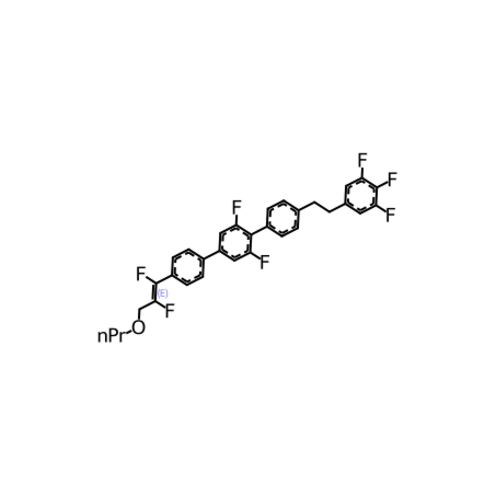 CCCOC/C(F)=C(\F)c1ccc(-c2cc(F)c(-c3ccc(CCc4cc(F)c(F)c(F)c4)cc3)c(F)c2)cc1